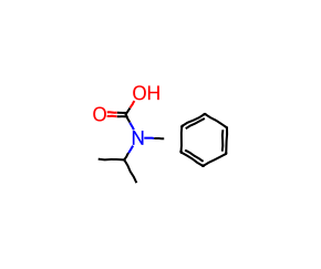 CC(C)N(C)C(=O)O.c1ccccc1